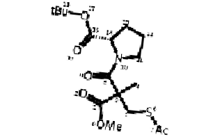 COC(=O)C(C)(CSC(C)=O)C(=O)N1CCC[C@H]1C(=O)OC(C)(C)C